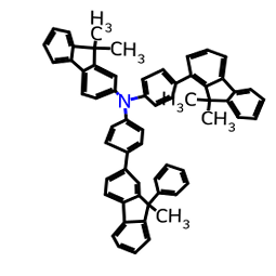 CC1(C)c2ccccc2-c2ccc(N(c3ccc(-c4ccc5c(c4)C(C)(c4ccccc4)c4ccccc4-5)cc3)c3ccc(-c4cccc5c4C(C)(C)c4ccccc4-5)cc3)cc21